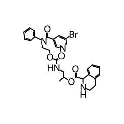 CC(CNC(=O)OCCN(C(=O)c1cncc(Br)c1)c1ccccc1)OC(=O)C1NCCc2ccccc21